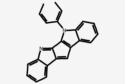 C/C=C\C(=C/C)n1c2c(c3ccccc31)C=C1C2=Nc2ccccc21